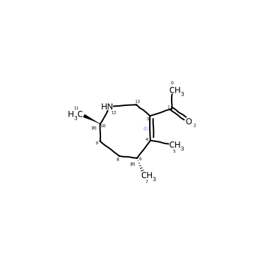 CC(=O)/C1=C(\C)[C@H](C)CC[C@@H](C)NC1